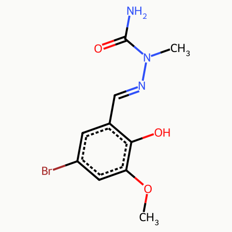 COc1cc(Br)cc(C=NN(C)C(N)=O)c1O